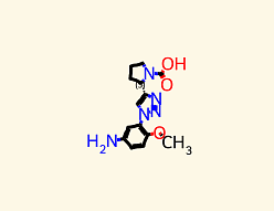 COc1ccc(N)cc1-n1cc([C@@H]2CCCN2C(=O)O)nn1